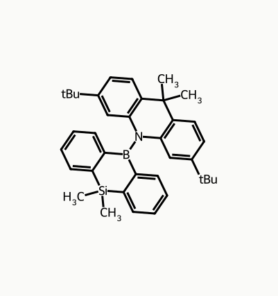 CC(C)(C)c1ccc2c(c1)N(B1c3ccccc3[Si](C)(C)c3ccccc31)c1cc(C(C)(C)C)ccc1C2(C)C